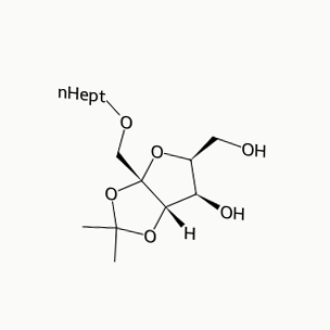 CCCCCCCOC[C@@]12O[C@@H](CO)[C@@H](O)[C@@H]1OC(C)(C)O2